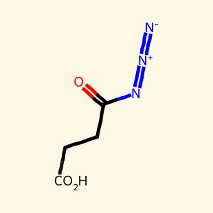 [N-]=[N+]=NC(=O)CCC(=O)O